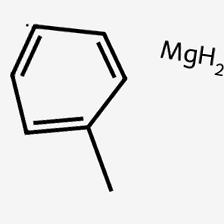 Cc1cc[c]cc1.[MgH2]